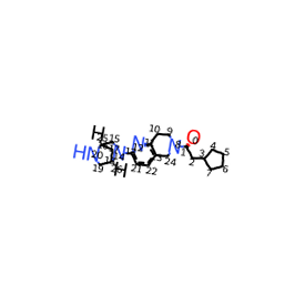 O=C(CC1CCCC1)N1CCc2nc(N3C[C@H]4C[C@@H]3CN4)ccc2C1